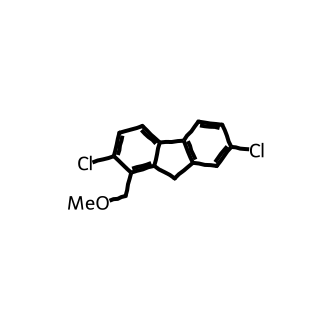 COCc1c(Cl)ccc2c1Cc1cc(Cl)ccc1-2